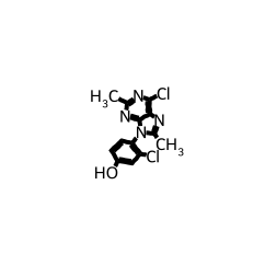 Cc1nc(Cl)c2nc(C)n(-c3ccc(O)cc3Cl)c2n1